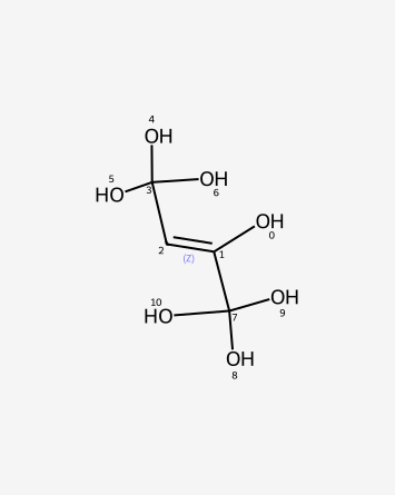 O/C(=C\C(O)(O)O)C(O)(O)O